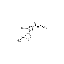 CCOC(=O)c1cc(C#N)c(N(CC)CCOC)s1